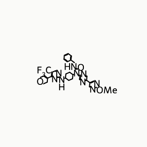 COc1ncc(-c2cnc(N(C(=O)NCc3ccccc3)C3CCC(Nc4ncc(C(F)(F)F)c(C5=CCOCC5)n4)CC3)cn2)cn1